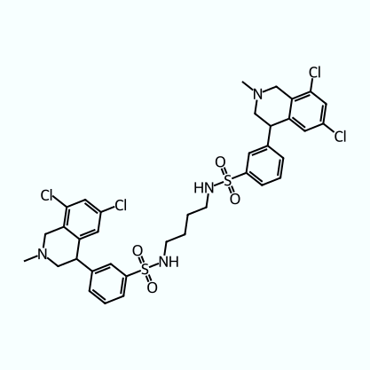 CN1Cc2c(Cl)cc(Cl)cc2C(c2cccc(S(=O)(=O)NCCCCNS(=O)(=O)c3cccc(C4CN(C)Cc5c(Cl)cc(Cl)cc54)c3)c2)C1